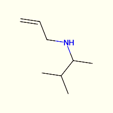 C=CCNC(C)C(C)C